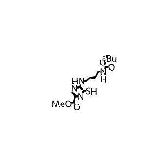 COC(=O)c1cnc(NCC=CCNC(=O)OC(C)(C)C)c(S)n1